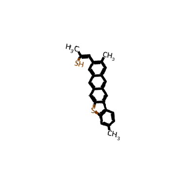 CC(S)=Cc1cc2cc3cc4sc5cc(C)ccc5c4cc3cc2cc1C